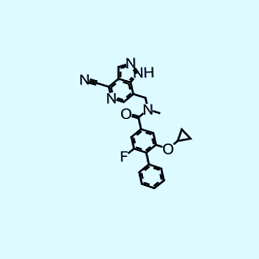 CN(Cc1cnc(C#N)c2cn[nH]c12)C(=O)c1cc(F)c(-c2ccccc2)c(OC2CC2)c1